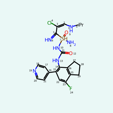 CC(C)N/C=C(/Cl)C(=N)[SH](N)(=O)NC(=O)Nc1c(-c2ccncc2)cc(F)c2c1CCC2